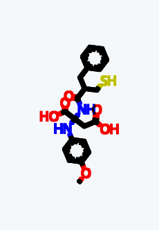 COc1ccc(NC(CC(=O)O)(NC(=O)C(CS)Cc2ccccc2)C(=O)O)cc1